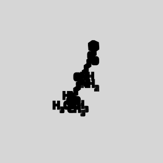 CC(C)(C)OC(=O)NCCCC[C@H](N)C(=O)NCCCCCC(=O)OCc1ccccc1